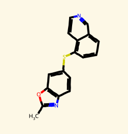 Cc1nc2ccc(Sc3cccc4cnccc34)cc2o1